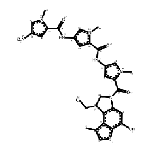 Cc1csc2c(O)cc3c(c12)[C@@H](CCl)CN3C(=O)c1cc(NC(=O)c2cc(NC(=O)c3cc([N+](=O)[O-])cn3C)cn2C)cn1C